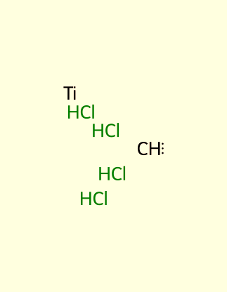 Cl.Cl.Cl.Cl.[CH].[Ti]